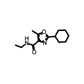 CCNC(=O)c1nc(C2CCCCC2)oc1C